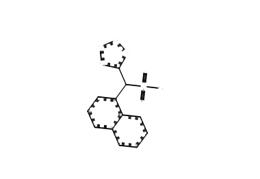 NS(=O)(=O)C(c1nn[nH]n1)c1cccc2ccccc12